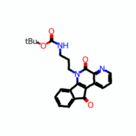 CC(C)(C)OC(=O)NCCCn1c2c(c3cccnc3c1=O)C(=O)c1ccccc1-2